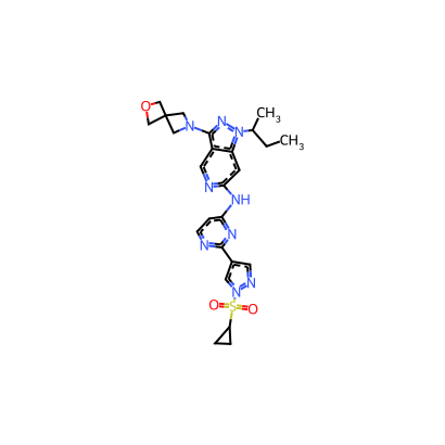 CCC(C)n1nc(N2CC3(COC3)C2)c2cnc(Nc3ccnc(-c4cnn(S(=O)(=O)C5CC5)c4)n3)cc21